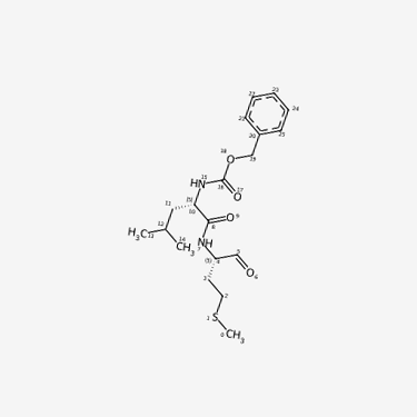 CSCC[C@@H](C=O)NC(=O)[C@H](CC(C)C)NC(=O)OCc1ccccc1